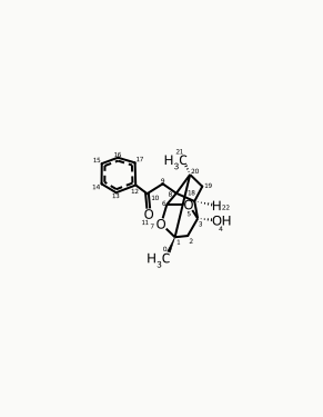 C[C@@]12C[C@@]3(O)OC(O1)C1(CC(=O)c4ccccc4)[C@H]3C[C@]12C